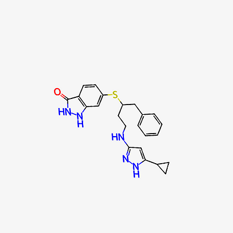 O=c1[nH][nH]c2cc(SC(CCNc3cc(C4CC4)[nH]n3)Cc3ccccc3)ccc12